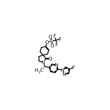 C[C@@H](c1ccc(-n2cc(F)cn2)nc1)N1CCC2(CC=C(OS(=O)(=O)C(F)(F)F)CC2)C1=O